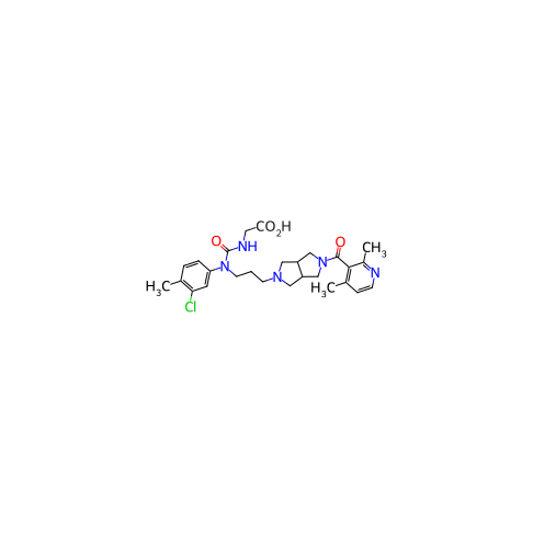 Cc1ccc(N(CCCN2CC3CN(C(=O)c4c(C)ccnc4C)CC3C2)C(=O)NCC(=O)O)cc1Cl